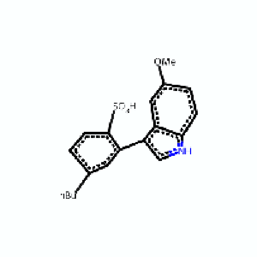 CCCCc1ccc(S(=O)(=O)O)c(-c2c[nH]c3ccc(OC)cc23)c1